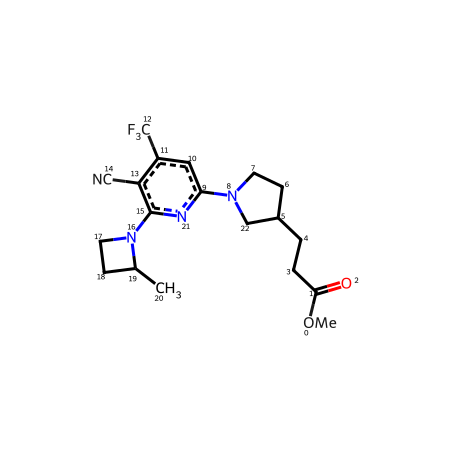 COC(=O)CCC1CCN(c2cc(C(F)(F)F)c(C#N)c(N3CCC3C)n2)C1